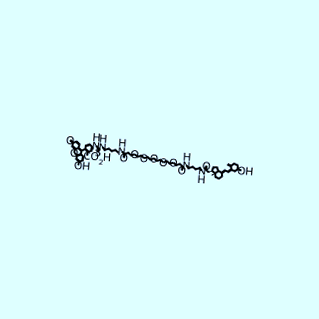 C=C1CCC(O)C/C1=C/C=C1\CCC[C@@]2(C)C1CC[C@@H]2CC(=O)NCCCCNC(=O)CCOCCOCCOCCOCCOCCC(=O)NCCCCCNC(=S)Nc1ccc(-c2c3ccc(=O)cc-3oc3cc(O)ccc23)c(C(=O)O)c1